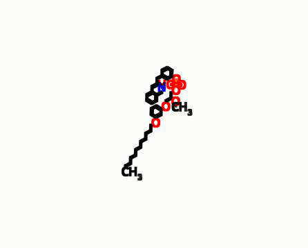 CCCCCCCCCCCCOc1cccc(OCC(COP(=O)(O)Oc2cccc(Cc3cc4ccccc4cn3)c2)OC)c1